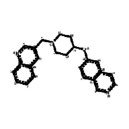 c1ccc2ncc(CN3CCC(Oc4ccc5cnccc5c4)CC3)cc2c1